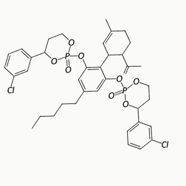 C=C(C)C1CCC(C)=CC1c1c(OP2(=O)OCCC(c3cccc(Cl)c3)O2)cc(CCCCC)cc1OP1(=O)OCCC(c2cccc(Cl)c2)O1